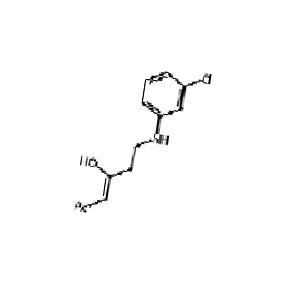 CC(=O)C=C(O)CCNc1cccc(Cl)c1